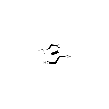 C=C.O=C(O)CO.OCCO